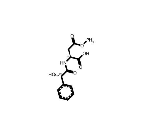 O=C(C[C@H](NC(=O)[C@@H](O)c1ccccc1)C(=O)O)OP